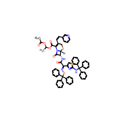 CC(C)COC(=O)OC(C)OC(=O)C1=C(/C=C\c2cccnc2)CS[C@@H]2[C@H](NC(=O)/C(=N/OC(c3ccccc3)(c3ccccc3)c3ccccc3)c3csc(NC(c4ccccc4)(c4ccccc4)c4ccccc4)n3)C(=O)N12